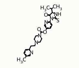 Cc1ccc(CCN2CCN(C(=O)Oc3ccc(N4C(=O)C(C(C)C)NC4=S)nc3)CC2)nc1